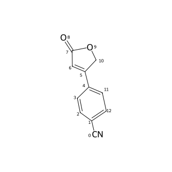 N#Cc1ccc(C2=CC(=O)OC2)cc1